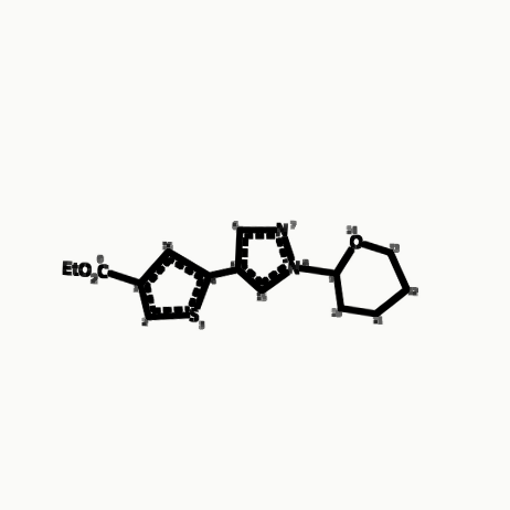 CCOC(=O)c1csc(-c2cnn(C3CCCCO3)c2)c1